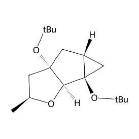 C[C@H]1C[C@@]2(OC(C)(C)C)C[C@@H]3C[C@]3(OC(C)(C)C)[C@H]2O1